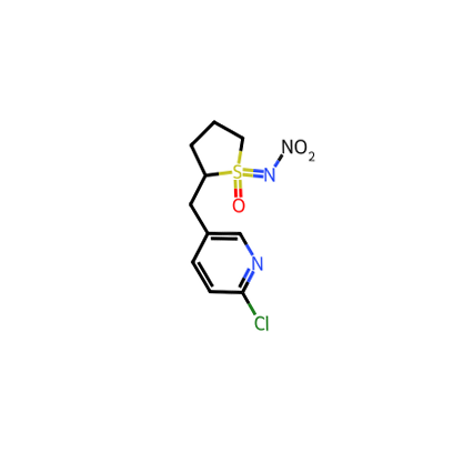 O=[N+]([O-])N=S1(=O)CCCC1Cc1ccc(Cl)nc1